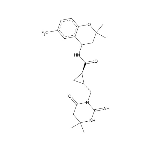 CC1(C)CC(=O)N(C[C@@H]2C[C@H]2C(=O)NC2CC(C)(C)Oc3ccc(C(F)(F)F)cc32)C(=N)N1